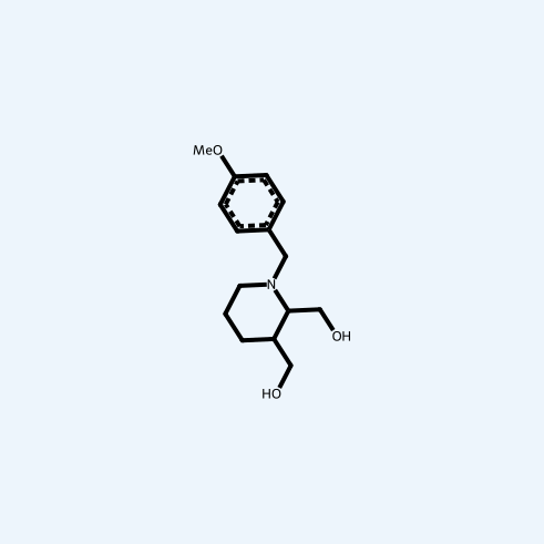 COc1ccc(CN2CCCC(CO)C2CO)cc1